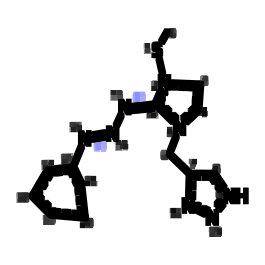 CSn1ccn(Cc2c[nH]nn2)/c1=N\N=N\c1ccccc1